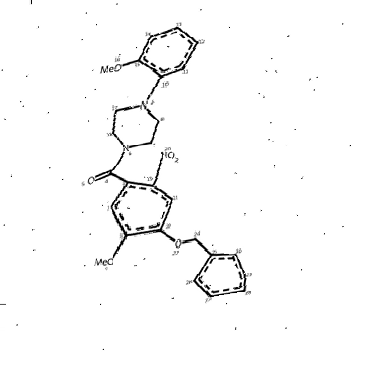 COc1cc(C(=O)N2CCN(c3ccccc3OC)CC2)c([N+](=O)[O-])cc1OCc1ccccc1